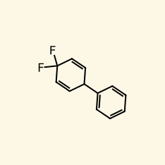 FC1(F)C=CC(c2ccccc2)C=C1